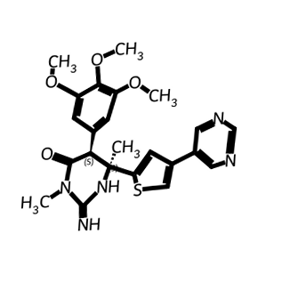 COc1cc([C@@H]2C(=O)N(C)C(=N)N[C@]2(C)c2cc(-c3cncnc3)cs2)cc(OC)c1OC